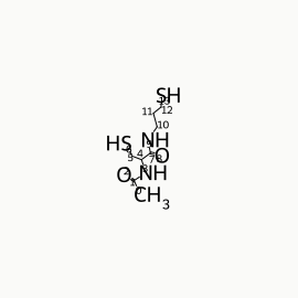 CC(=O)NC(CS)C(=O)NCCCS